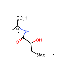 CSCC(O)C(=O)N[C@@H](C)C(=O)O